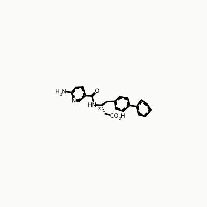 Nc1ccc(C(=O)N[C@@H](CC(=O)O)Cc2ccc(-c3ccccc3)cc2)cn1